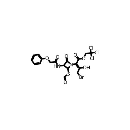 O=CSC1C(NC(=O)COc2ccccc2)C(=O)N1/C(C(=O)OCC(Cl)(Cl)Cl)=C(/O)CBr